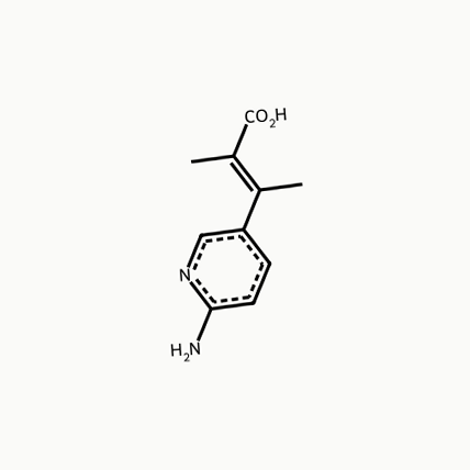 CC(C(=O)O)=C(C)c1ccc(N)nc1